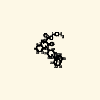 CCOC(=O)c1nc2ccccc2n(C2CCN(C34CC5CC(CC(C5)C3)C4)CC2)c1=O